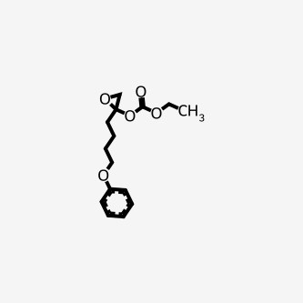 CCOC(=O)OC1(CCCCOc2ccccc2)CO1